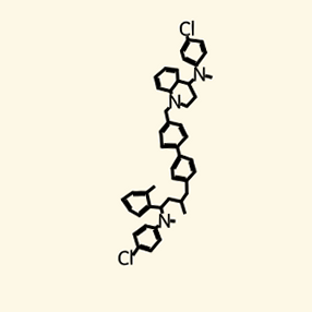 Cc1ccccc1C(CC(C)Cc1ccc(-c2ccc(CN3CCC(N(C)c4ccc(Cl)cc4)C4C=CC=CC43)cc2)cc1)N(C)c1ccc(Cl)cc1